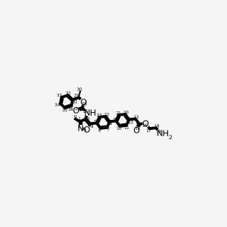 Cc1noc(-c2ccc(-c3ccc(CC(=O)OCCN)cc3)cc2)c1NC(=O)O[C@H](C)c1ccccc1